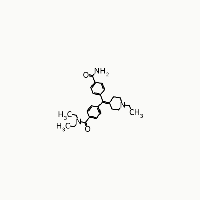 CCN1CCC(=C(c2ccc(C(N)=O)cc2)c2ccc(C(=O)N(CC)CC)cc2)CC1